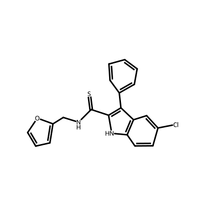 S=C(NCc1ccco1)c1[nH]c2ccc(Cl)cc2c1-c1ccccc1